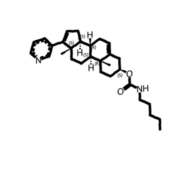 CCCCCNC(=O)O[C@H]1CC[C@@]2(C)C(=CC[C@@H]3[C@@H]2CC[C@]2(C)C(c4cccnc4)=CC[C@@H]32)C1